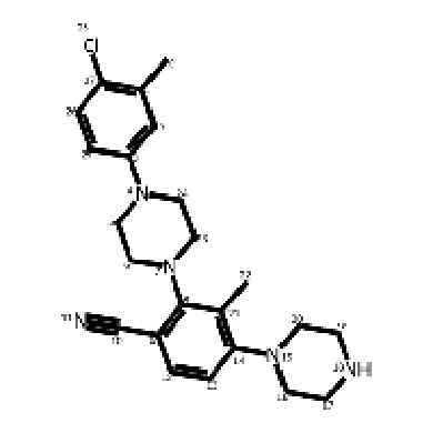 Cc1cc(N2CCN(c3c(C#N)ccc(N4CCNCC4)c3C)CC2)ccc1Cl